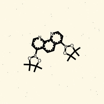 CC1(C)OB(c2ccnc3c2ccc2c(B4OC(C)(C)C(C)(C)O4)ccnc23)OC1(C)C